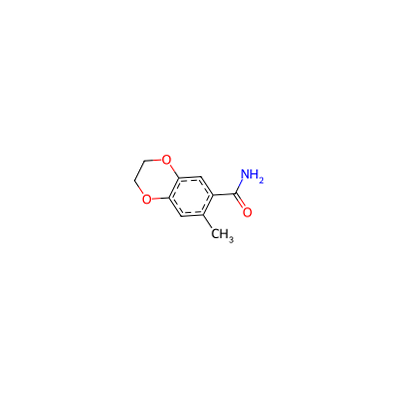 Cc1cc2c(cc1C(N)=O)OCCO2